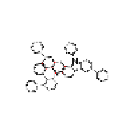 c1ccc(-c2ccc(N(c3ccc4c5cc(-c6ccccc6)ccc5n(-c5ccccc5)c4c3)c3cccc(-c4ccccc4)c3-c3ccccc3-c3ccccc3)cc2)cc1